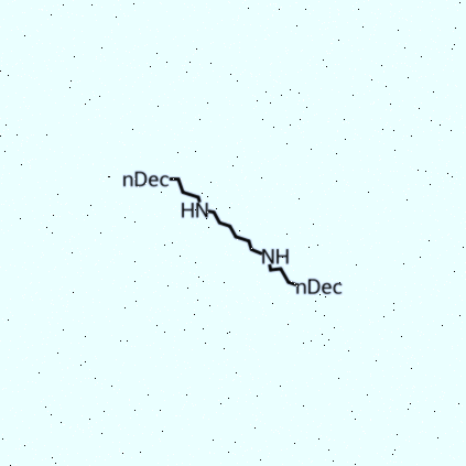 CCCCCCCCCCCCCNCCCCCCNCCCCCCCCCCCCC